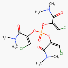 CN(C)C(=O)/C(=C\Cl)OP(=O)(O/C(=C/Cl)C(=O)N(C)C)O/C(=C/Cl)C(=O)N(C)C